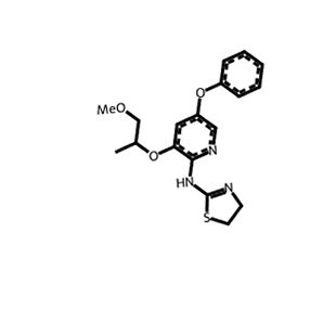 COCC(C)Oc1cc(Oc2ccccc2)cnc1NC1=NCCS1